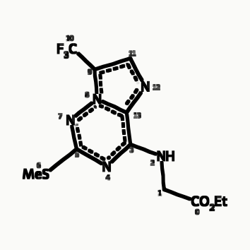 CCOC(=O)CNc1nc(SC)nn2c(C(F)(F)F)cnc12